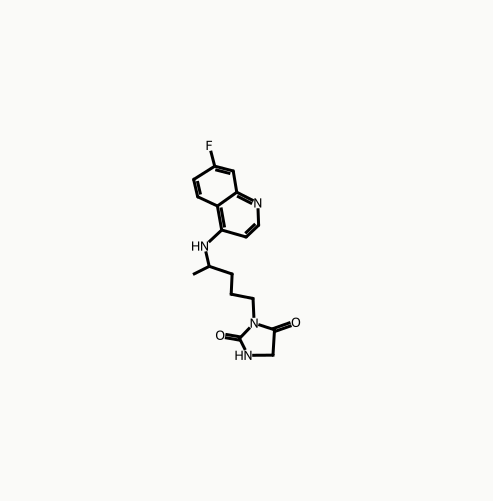 CC(CCCN1C(=O)CNC1=O)Nc1ccnc2cc(F)ccc12